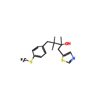 CC(C)(Cc1ccc(SC(F)(F)F)cc1)C(C)(O)Cc1cncs1